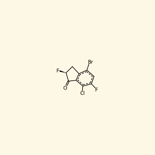 O=C1c2c(Cl)c(F)cc(Br)c2C[C@@H]1F